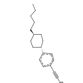 CCCCC[C@H]1CC[C@H](c2ccc(C#CCl)cc2)CC1